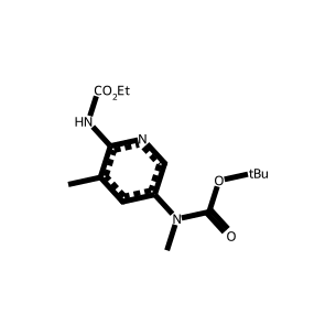 CCOC(=O)Nc1ncc(N(C)C(=O)OC(C)(C)C)cc1C